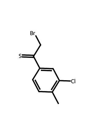 Cc1ccc(C(=S)CBr)cc1Cl